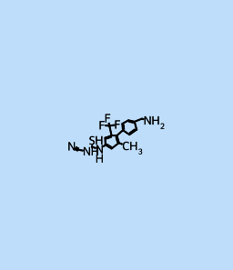 Cc1cc(NC(S)NC#N)cc(C(F)(F)F)c1-c1ccc(CN)cc1